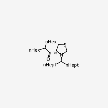 CCCCCCCC(CCCCCCC)N1CSC[C@H]1C(=O)C(CCCCCC)CCCCCC